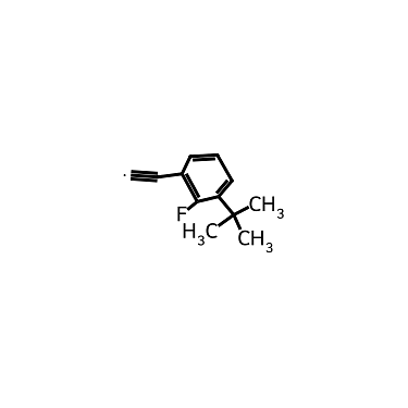 [C]#Cc1cccc(C(C)(C)C)c1F